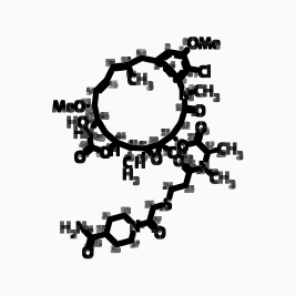 COc1cc2cc(c1Cl)N(C)C(=O)C[C@H](OC(=O)[C@@H](C)N(C)C(=O)CCSCC(=O)N1CCC(C(N)=O)CC1)[C@]1(C)O[C@H]1[C@H](C)[C@@H]1C[C@@](O)(NC(=O)O1)[C@H](OC)/C=C/C=C(\C)C2